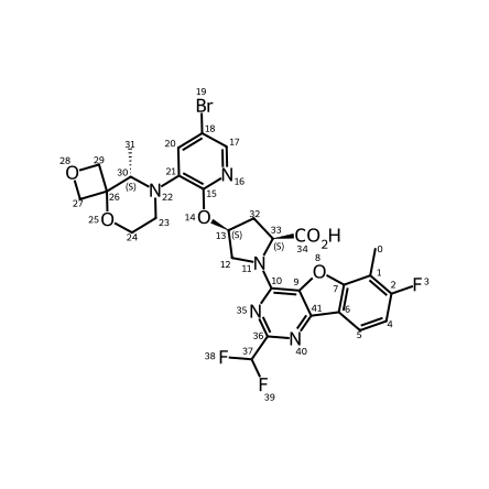 Cc1c(F)ccc2c1oc1c(N3C[C@@H](Oc4ncc(Br)cc4N4CCOC5(COC5)[C@@H]4C)C[C@H]3C(=O)O)nc(C(F)F)nc12